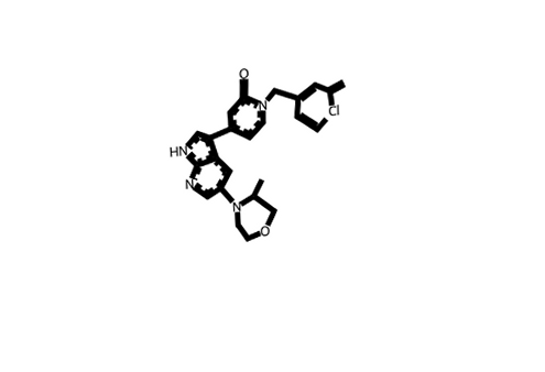 C=C(Cl)/C=C(\C=C/C)Cn1ccc(-c2c[nH]c3ncc(N4CCOCC4C)cc23)cc1=O